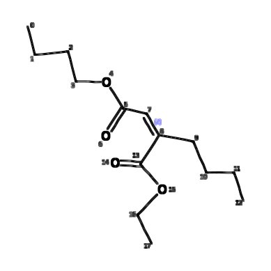 CCCCOC(=O)/C=C(/CCCC)C(=O)OCC